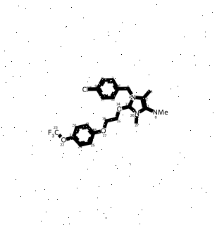 CNC1=C(C)N(Cc2ccc(Cl)cc2)C(OCCOc2ccc(OC(F)(F)F)cc2)N1C